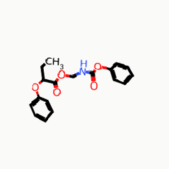 CCC(Oc1ccccc1)C(=O)OCNC(=O)Oc1ccccc1